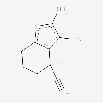 C#C[C@@]1(C)CCCc2sc(N)c(C#N)c21